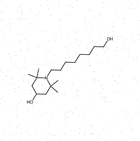 CC1(C)CC(O)CC(C)(C)N1CCCCCCCCO